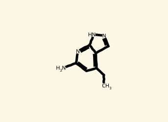 CCc1cc(N)nc2[nH]ncc12